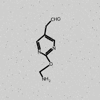 NCOc1ncc(CC=O)cn1